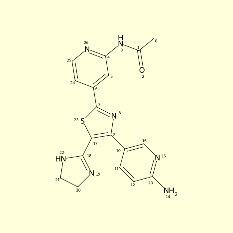 CC(=O)Nc1cc(-c2nc(-c3ccc(N)nc3)c(C3=NCCN3)s2)ccn1